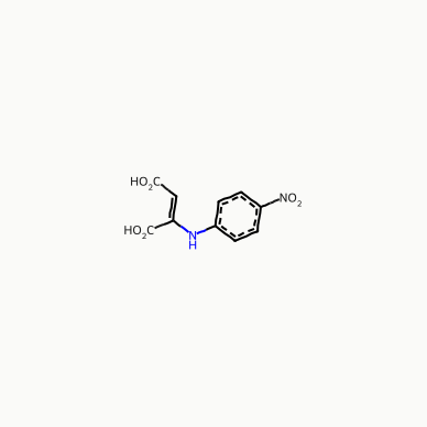 O=C(O)C=C(Nc1ccc([N+](=O)[O-])cc1)C(=O)O